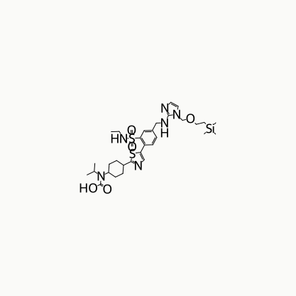 CCNS(=O)(=O)c1cc(CNc2nccn2COCC[Si](C)(C)C)ccc1-c1cnc(C2CCC(N(C(=O)O)C(C)C)CC2)s1